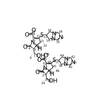 C[C@@H](O)[C@H]1C(=O)N2C(C(=O)[O-])=C(SC3Cn4cnc[n+]4C3)[C@H](C)[C@H]12.C[C@@H](O)[C@H]1C(=O)N2C(C(=O)[O-])=C(SC3Cn4cnc[n+]4C3)[C@H](C)[C@H]12